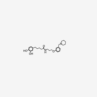 O=C(CCCCc1ccc(O)c(O)c1)NCCCOc1cccc(CN2CCCCC2)c1